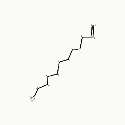 C=CCOCCCCCCCO